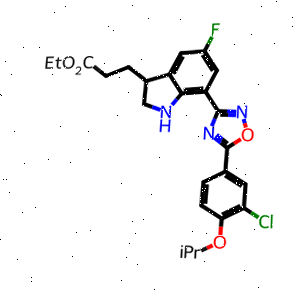 CCOC(=O)CCC1CNc2c(-c3noc(-c4ccc(OC(C)C)c(Cl)c4)n3)cc(F)cc21